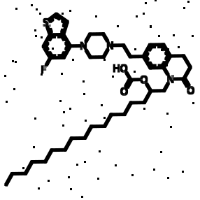 CCCCCCCCCCCCCCCC(CN1C(=O)CCc2ccc(CCN3CCN(c4cc(F)cc5sccc45)CC3)cc21)OC(=O)O